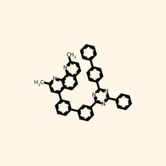 Cc1ccc2ccc3c(-c4cccc(-c5cccc(-c6nc(-c7ccccc7)nc(-c7ccc(-c8ccccc8)cc7)n6)c5)c4)cc(C)nc3c2n1